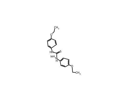 CCOc1ccc(NC(=S)Nc2ccc(OCC)cc2)cc1.[InH3]